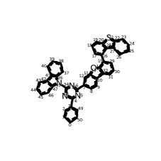 c1ccc(-c2nc(-c3ccc4c(c3)oc3c(-c5cccc6sc7ccccc7c56)cccc34)nc(-n3c4ccccc4c4ccccc43)n2)cc1